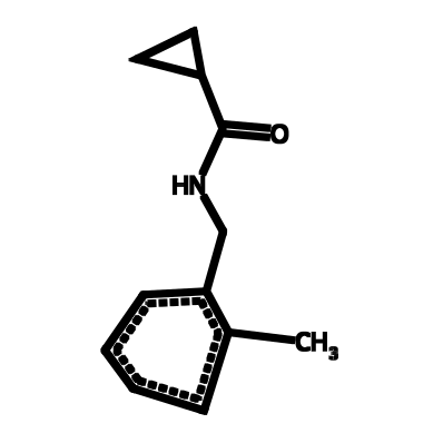 Cc1ccccc1CNC(=O)C1CC1